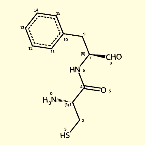 N[C@@H](CS)C(=O)N[C@H](C=O)Cc1ccccc1